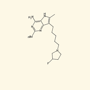 CCCCc1nc(N)c2[nH]c(C)c(CCCCCN3CCC(F)C3)c2n1